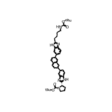 CC(C)(C)OC(=O)NCCCCc1nc2ccc(-c3ccc4ccc(-c5ccc6[nH]c([C@@H]7CCCN7C(=O)OC(C)(C)C)nc6c5)cc4c3)cc2[nH]1